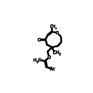 CC(=O)/C=C(/C)OCC1(C)CCCO/C(C)=C\C(=O)C1